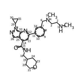 CNCCN(C)Cc1cccc(-c2cc(C(=O)NCC3CCOCC3)c3cnn(C4CC4)c3n2)c1